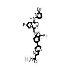 CC(=O)c1nn(CC(=O)N2C[C@H](F)C[C@H]2C(=O)Nc2cccc(Br)n2)c2ccc(-c3cnc4cc(C(N)=O)nn4c3)cc12